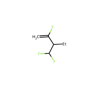 C=C(F)C(CC)C(F)F